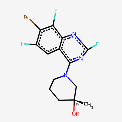 C[C@@]1(O)CCCN(c2nc(F)nc3c(F)c(Br)c(F)cc23)C1